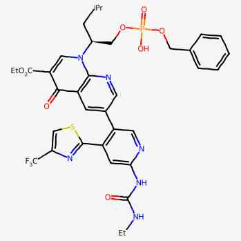 CCNC(=O)Nc1cc(-c2nc(C(F)(F)F)cs2)c(-c2cnc3c(c2)c(=O)c(C(=O)OCC)cn3[C@H](COP(=O)(O)OCc2ccccc2)CC(C)C)cn1